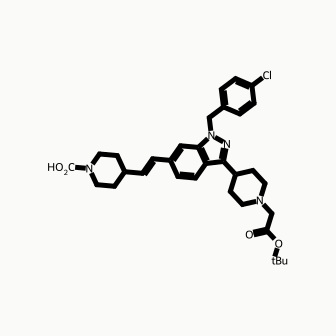 CC(C)(C)OC(=O)CN1CCC(c2nn(Cc3ccc(Cl)cc3)c3cc(/C=C/C4CCN(C(=O)O)CC4)ccc23)CC1